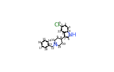 Clc1ccc2[nH]cc(C3CCN(Cc4ccccc4)CC3)c2c1